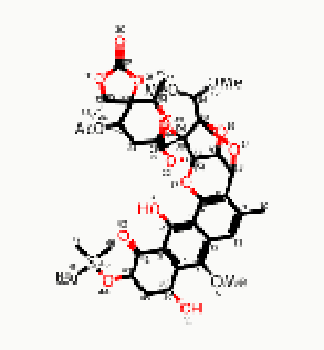 COc1c2c(c(O)c3c4c(c(C)cc13)C1OC3(C(OC)OC)OC1[C@@](OC1CC(OC(C)=O)C5(OC(=O)O[C@H]5C)C(C)O1)(O4)[C@@]31CO1)C(=O)C(O[Si](C)(C)C(C)(C)C)C[C@@H]2O